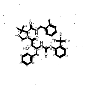 Cc1ccccc1CNC(=O)[C@H]1N(C(=O)[C@@H](O)[C@H](Cc2ccccc2)NC(=O)Nc2ccccc2C(F)(F)F)CSC1(C)C